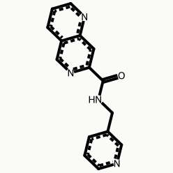 O=C(NCc1cccnc1)c1cc2ncccc2cn1